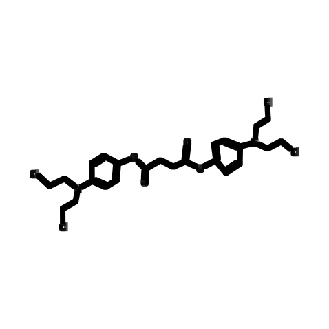 O=C(CCC(=O)Oc1ccc(N(CCCl)CCCl)cc1)Oc1ccc(N(CCCl)CCCl)cc1